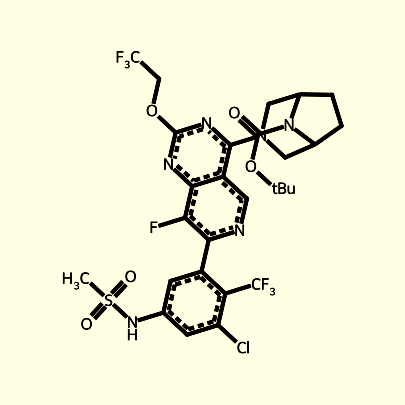 CC(C)(C)OC(=O)N1C2CCC1CN(c1nc(OCC(F)(F)F)nc3c(F)c(-c4cc(NS(C)(=O)=O)cc(Cl)c4C(F)(F)F)ncc13)C2